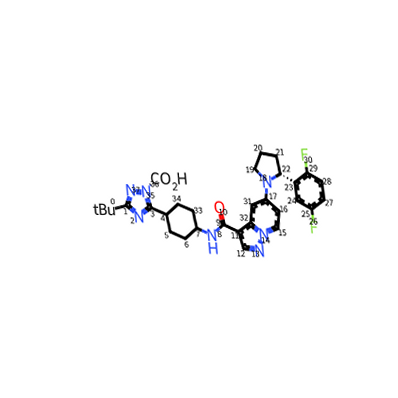 CC(C)(C)c1nc(C2CCC(NC(=O)c3cnn4ccc(N5CCC[C@@H]5c5cc(F)ccc5F)cc34)CC2)n(C(=O)O)n1